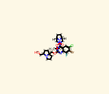 CC(C)(C)OC(=O)N1[C@@H]2CC[C@H]1CN(c1nc(OCC34CCCN3C(CO)CC4)nc3c(F)c(Br)c(Cl)cc13)C2